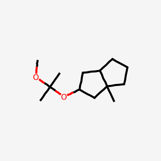 COC(C)(C)OC1CC2CCCC2(C)C1